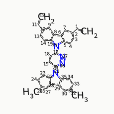 C=Cc1ccc2c(c1)c1cc(C=C)ccc1n2-c1ccc(-n2c3ccc(C)cc3c3cc(C)ccc32)nn1